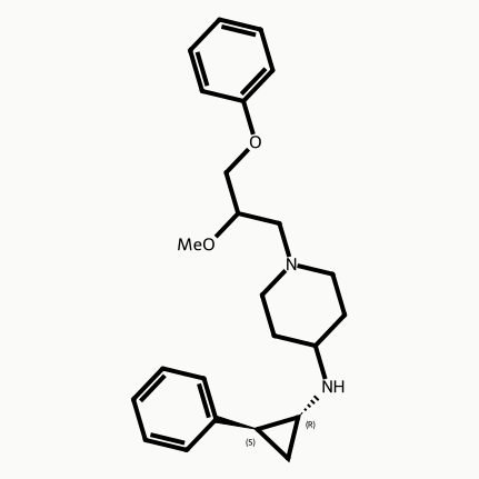 COC(COc1ccccc1)CN1CCC(N[C@@H]2C[C@H]2c2ccccc2)CC1